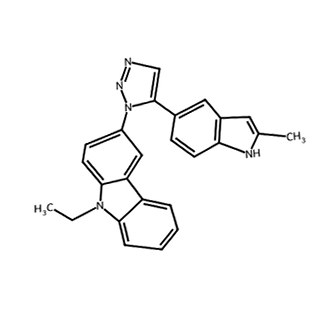 CCn1c2ccccc2c2cc(-n3nncc3-c3ccc4[nH]c(C)cc4c3)ccc21